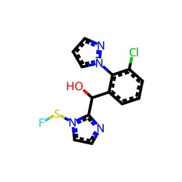 OC(c1cccc(Cl)c1-n1cccn1)c1nccn1SF